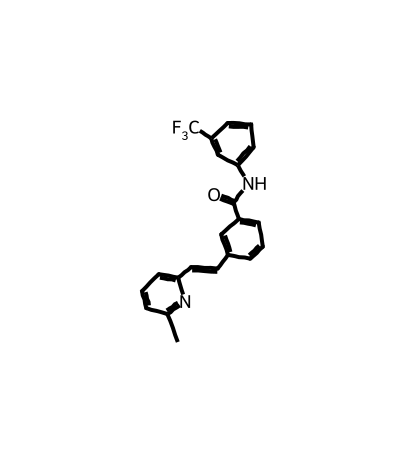 Cc1cccc(C=Cc2cccc(C(=O)Nc3cccc(C(F)(F)F)c3)c2)n1